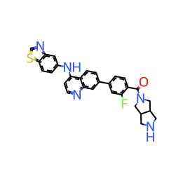 O=C(c1ccc(-c2ccc3c(Nc4ccc5scnc5c4)ccnc3c2)cc1F)N1CC2CNCC2C1